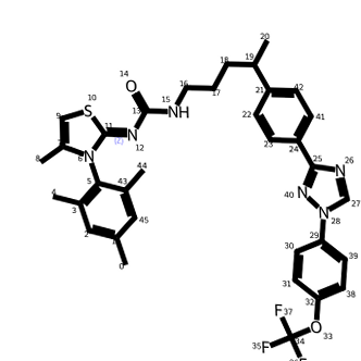 Cc1cc(C)c(-n2c(C)cs/c2=N\C(=O)NCCCC(C)c2ccc(-c3ncn(-c4ccc(OC(F)(F)F)cc4)n3)cc2)c(C)c1